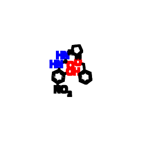 O=C(Nc1ccc([N+](=O)[O-])cc1O)N[C@@H]1CCC[C@H]1OCc1ccccc1